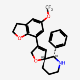 FC(F)(F)Oc1cc2c(c(C3=C[C@@]4(CCCN[C@H]4c4ccccc4)OC3)c1)OCC2